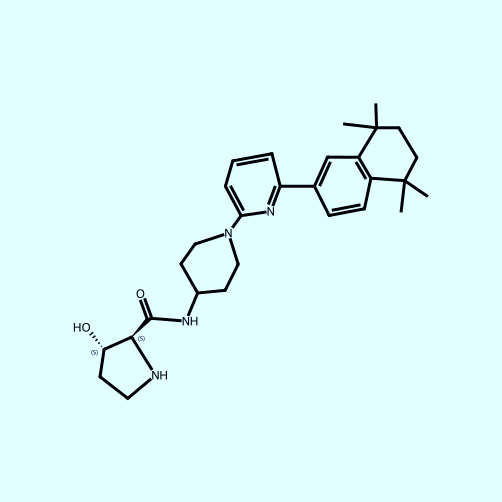 CC1(C)CCC(C)(C)c2cc(-c3cccc(N4CCC(NC(=O)[C@H]5NCC[C@@H]5O)CC4)n3)ccc21